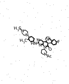 CC(=O)N1CCCC(n2c(=O)c(-c3ccc(F)cc3Cl)c(C)c3cnc(Nc4ccc(N5CCN(C)CC5)c(C)c4)nc32)C1